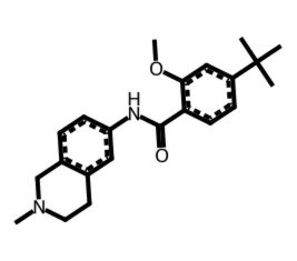 COc1cc(C(C)(C)C)ccc1C(=O)Nc1ccc2c(c1)CCN(C)C2